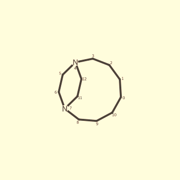 C1CCCN2CCN(CCC1)CC2